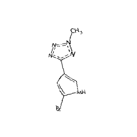 Cn1nnc(C2=C[AsH]C(Br)=C2)n1